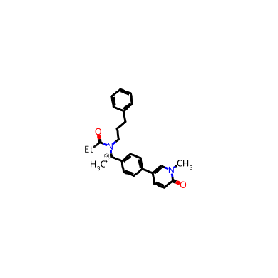 CCC(=O)N(CCCc1ccccc1)[C@@H](C)c1ccc(-c2ccc(=O)n(C)c2)cc1